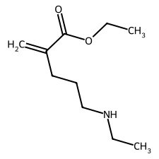 C=C(CCCNCC)C(=O)OCC